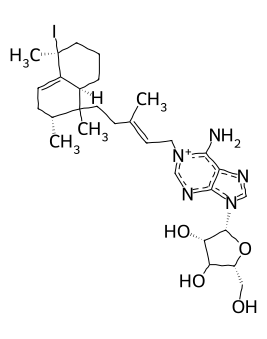 C/C(=C\C[n+]1cnc2c(ncn2[C@@H]2O[C@H](CO)C(O)[C@@H]2O)c1N)CCC1(C)[C@H](C)CC=C2[C@H]1CCC[C@]2(C)I